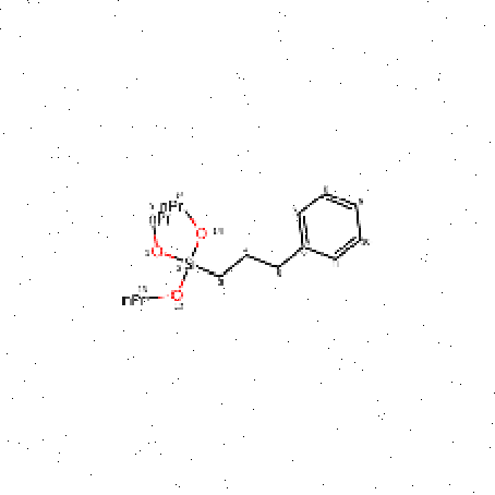 CCCO[Si](CCCc1ccccc1)(OCCC)OCCC